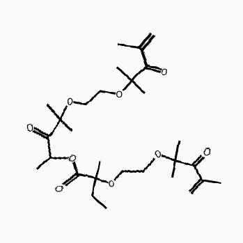 C=C(C)C(=O)C(C)(C)OCCOC(C)(C)C(=O)C(C)OC(=O)C(C)(CC)OCCOC(C)(C)C(=O)C(=C)C